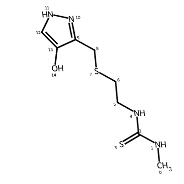 CNC(=S)NCCSCc1n[nH]cc1O